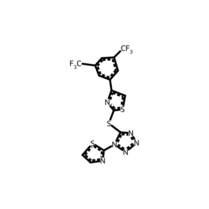 FC(F)(F)c1cc(-c2csc(Sc3nnnn3-c3nccs3)n2)cc(C(F)(F)F)c1